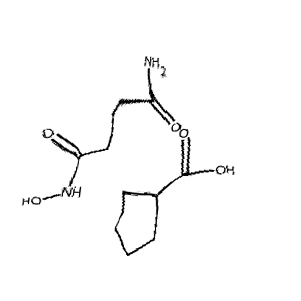 NC(=O)CCC(=O)NO.O=C(O)C1CCCC1